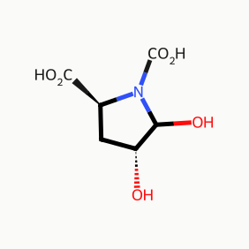 O=C(O)[C@@H]1C[C@@H](O)C(O)N1C(=O)O